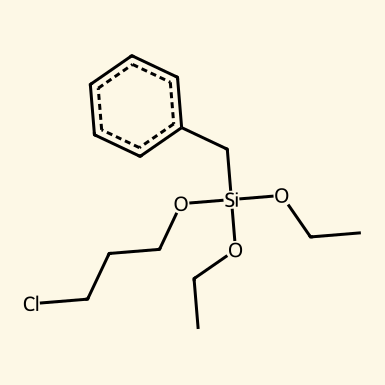 CCO[Si](Cc1ccccc1)(OCC)OCCCCl